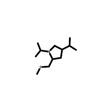 CSCC1CC(C(C)C)CN1C(C)C